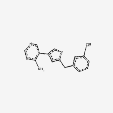 N#Cc1cccc(Cn2cc(-c3cncnc3N)cn2)c1